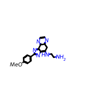 COc1ccc(C2=NC3=C(NCCN)Cc4nccnc4C3=N2)cc1